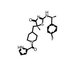 C[C@H](NC1=NC(=O)[C@@](C)(CC2CCN(C(=O)c3ccc[nH]3)CC2)S1)c1ccc(F)cc1